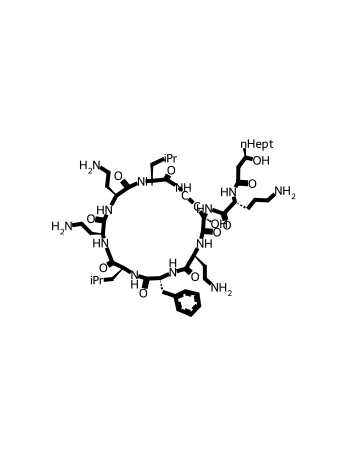 CCCCCCC[C@@H](O)CC(=O)N[C@H](CCCN)C(=O)N[C@]1(O)CCNC(=O)[C@H](CC(C)C)NC(=O)[C@H](CCN)NC(=O)[C@H](CCN)NC(=O)[C@H](CC(C)C)NC(=O)[C@@H](Cc2ccccc2)NC(=O)[C@H](CCN)NC1=O